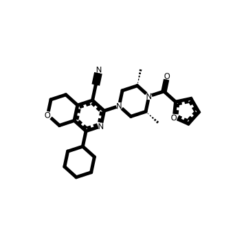 C[C@@H]1CN(c2nc(C3CCCCC3)c3c(c2C#N)CCOC3)C[C@H](C)N1C(=O)c1ccco1